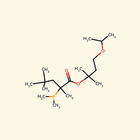 CC(C)OCCC(C)(C)OC(=O)C(C)(CC(C)(C)C)P(C)C